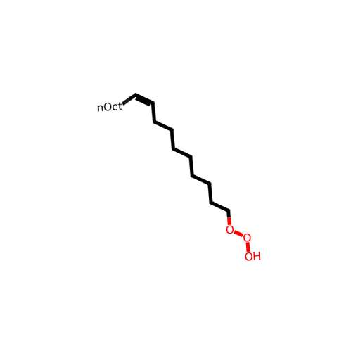 CCCCCCCC/C=C\CCCCCCCCOOO